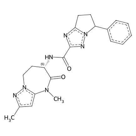 Cc1cc2n(n1)CC[C@H](NC(=O)c1nc3n(n1)C(c1ccccc1)CC3)C(=O)N2C